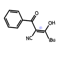 CCC(C)/C(O)=C(\C#N)C(=O)c1ccccc1